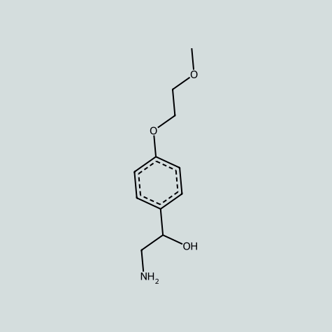 COCCOc1ccc(C(O)CN)cc1